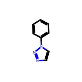 [c]1cn(-c2ccccc2)nn1